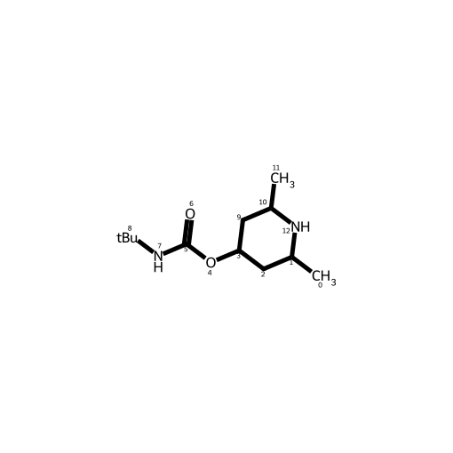 CC1CC(OC(=O)NC(C)(C)C)CC(C)N1